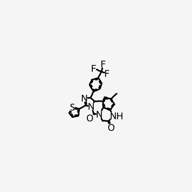 Cc1cc2c3c(c1)C1C(c4ccc(C(F)(F)F)cc4)N=C(c4cccs4)N1C(=O)N3CC(=O)N2